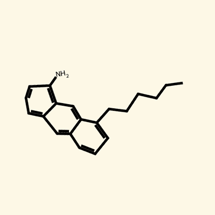 CCCCCCc1cccc2cc3cccc(N)c3cc12